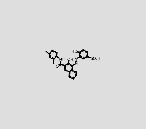 Cc1ccc(NC(=O)c2cc3ccccc3c(/N=N/c3cc(S(=O)(=O)O)ccc3O)c2O)c(C)c1